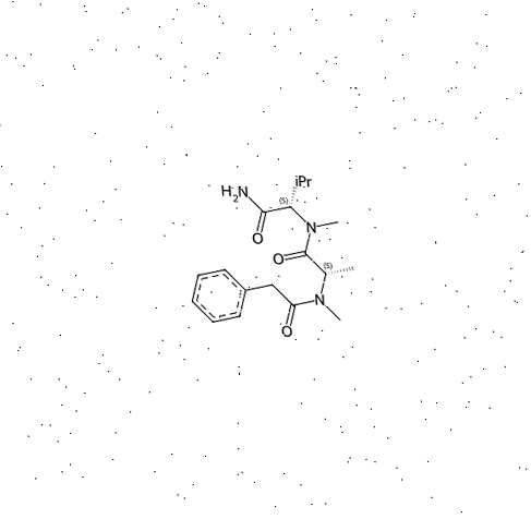 CC(C)[C@@H](C(N)=O)N(C)C(=O)[C@H](C)N(C)C(=O)Cc1ccccc1